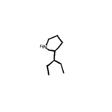 CCC(CC)C1CCCN1